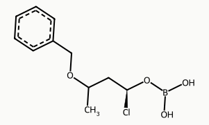 CC(C[C@H](Cl)OB(O)O)OCc1ccccc1